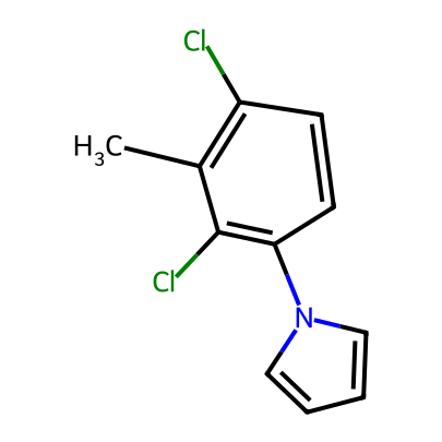 Cc1c(Cl)ccc(-n2cccc2)c1Cl